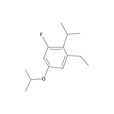 CCc1cc(OC(C)C)cc(F)c1C(C)C